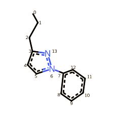 CCCc1ccn(-c2ccccc2)n1